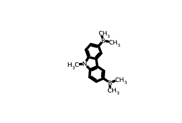 CB(C)c1ccc2c(c1)c1cc(B(C)C)ccc1n2C